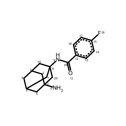 NC12CC3CC(C1)CC(NC(=O)c1ccc(F)cc1)(C3)C2